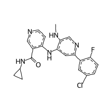 CNc1cnc(-c2cc(Cl)ccc2F)cc1Nc1ccncc1C(=O)NC1CC1